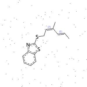 C/C=C/C(C)=C\CSc1nc2ccccc2s1